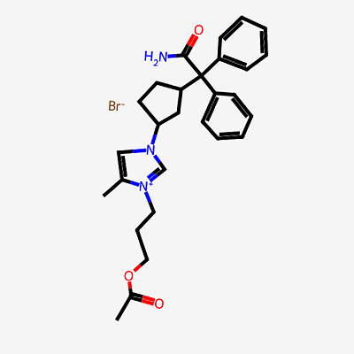 CC(=O)OCCC[n+]1cn(C2CCC(C(C(N)=O)(c3ccccc3)c3ccccc3)C2)cc1C.[Br-]